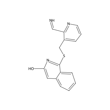 N=Cc1ncccc1CSc1nc(O)cc2ccccc12